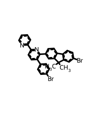 CC1(C)c2cc(Br)ccc2-c2ccc(-c3nc(-c4ccccn4)ccc3-c3ccc(Br)cc3)cc21